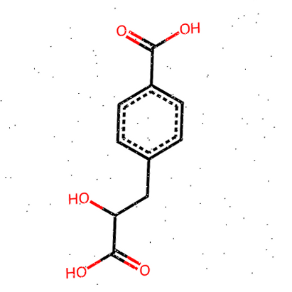 O=C(O)c1ccc(CC(O)C(=O)O)cc1